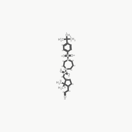 CC(C)(C)c1ccc(S(=O)(=O)N2CCCN(S(=O)(=O)CC3CCC(CC=O)C3(C)C)CC2)cc1